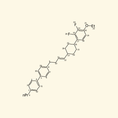 CCCc1ccc(-c2ccc(CCC=CC3CCC(c4ccc(OCC)c(F)c4F)CC3)cc2)cc1